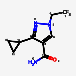 NC(=O)c1cn(CC(F)(F)F)nc1C1CC1